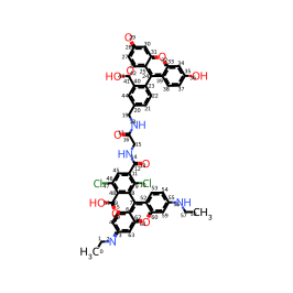 CC/N=c1\ccc2c(-c3c(Cl)c(C(=O)NCC(=O)NCc4ccc(-c5c6ccc(=O)cc-6oc6cc(O)ccc56)c(C(=O)O)c4)cc(Cl)c3C(=O)O)c3ccc(NCC)cc3oc-2c1